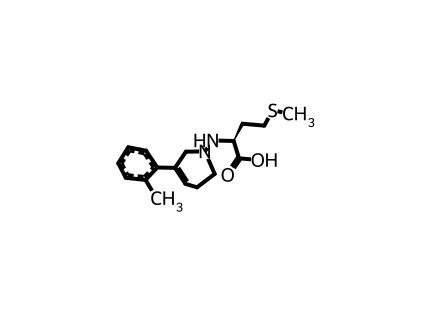 CSCC[C@H](NN1CCC=C(c2ccccc2C)C1)C(=O)O